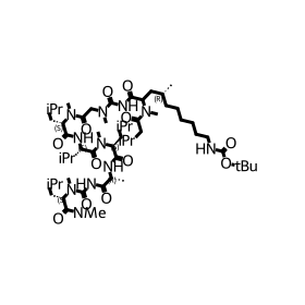 CNC(=O)[C@H](CC(C)C)N(C)C(=O)NC(=O)[C@@H](C)NC(=O)[C@H](CC(C)C)N(C)C(=O)[C@@H](NC(=O)[C@H](CC(C)C)N(C)C(=O)CN(C)C(=O)NC(=O)C(C[C@H](C)CCCCCCNC(=O)OC(C)(C)C)N(C)C(=O)CC(C)C)C(C)C